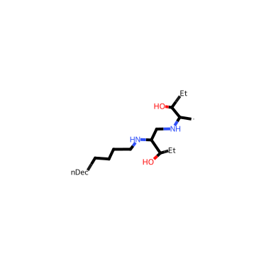 [CH2]C(NCC(NCCCCCCCCCCCCCC)C(O)CC)C(O)CC